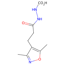 Cc1noc(C)c1CCC(=O)NNC(=O)O